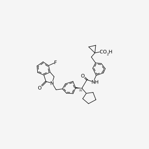 O=C(Nc1cccc(CC2(C(=O)O)CC2)c1)[C@H](c1ccc(CN2Cc3c(F)cccc3C2=O)cc1)C1CCCC1